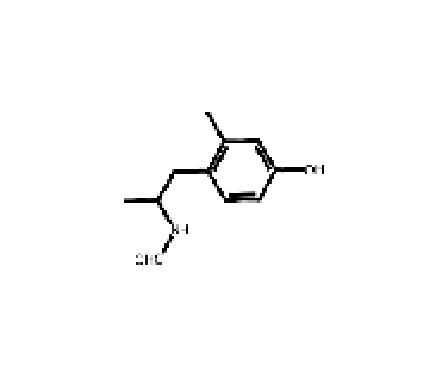 Cc1cc(O)ccc1CC(C)NC=O